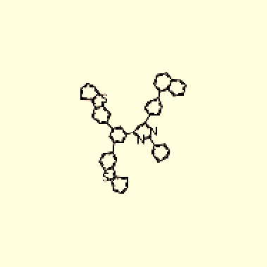 c1ccc(-c2nc(-c3ccc(-c4cccc5ccccc45)cc3)cc(-c3cc(-c4ccc5c(c4)sc4ccccc45)cc(-c4ccc5sc6ccccc6c5c4)c3)n2)cc1